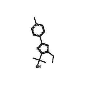 CCn1cc(-c2ccc(C)cc2)nc1C(C)(C)O